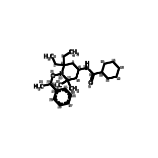 CCC1(CC)CC(NC(=O)C2CCCCC2)CC(C)(C)N1OC(C)c1ccccc1